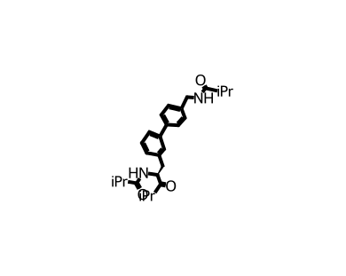 CC(C)C(=O)NCc1ccc(-c2cccc(C[C@H](NC(=O)C(C)C)C(=O)C(C)C)c2)cc1